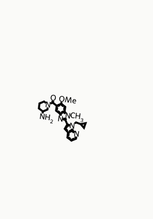 COc1cc2c(cc1C(=O)N1CCCC(N)C1)nc(-c1cc3cccnc3n1CC1CC1)n2C